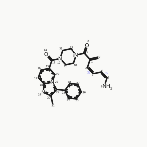 C=C(/C=C\C=C/N)C(=O)N1CCN(C(=O)c2ccc3nc(C)c(-c4ccccc4)n3c2)CC1